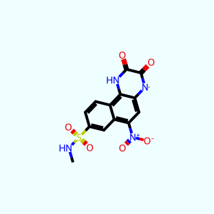 CNS(=O)(=O)c1ccc2c3c(cc([N+](=O)[O-])c2c1)[N]C(=O)C(=O)N3